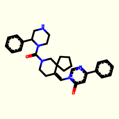 O=C(N1CC/C(=C/n2cnc(-c3ccccc3)cc2=O)C2(CCCC2)C1)N1CCNCC1c1ccccc1